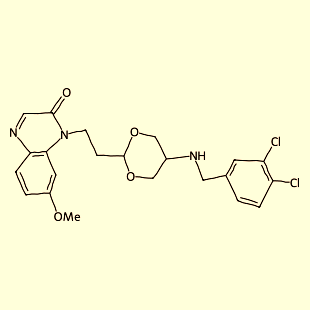 COc1ccc2ncc(=O)n(CCC3OCC(NCc4ccc(Cl)c(Cl)c4)CO3)c2c1